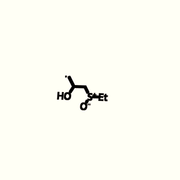 [CH2]C(O)C[S+]([O-])CC